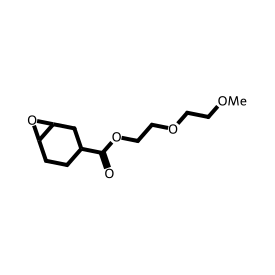 COCCOCCOC(=O)C1CCC2OC2C1